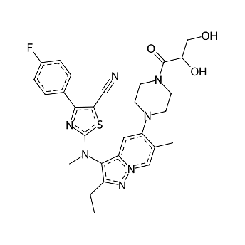 CCc1nn2cc(C)c(N3CCN(C(=O)C(O)CO)CC3)cc2c1N(C)c1nc(-c2ccc(F)cc2)c(C#N)s1